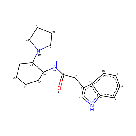 O=C(Cc1c[nH]c2ccccc12)NC1CCCCC1N1CCCC1